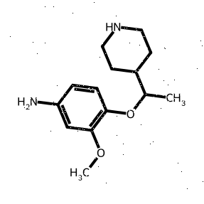 COc1cc(N)ccc1OC(C)C1CCNCC1